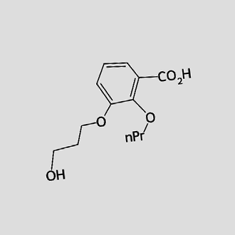 CCCOc1c(OCCCO)cccc1C(=O)O